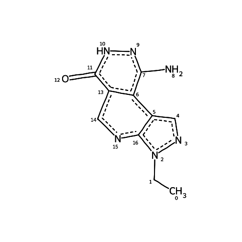 CCn1ncc2c3c(N)n[nH]c(=O)c3cnc21